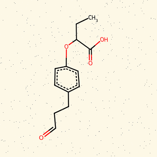 CCC(Oc1ccc(CCC=O)cc1)C(=O)O